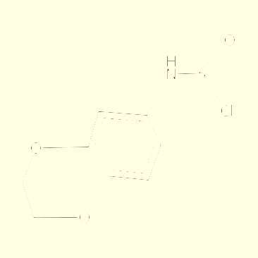 O=C(Cl)Nc1ccc2c(c1)OCCO2